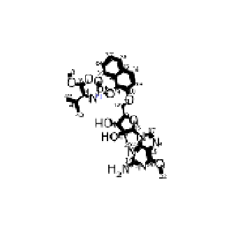 COC(=O)[C@@H](/N=[P+](\[O-])Oc1c(OC[C@H]2OC(n3cnc4c(OC)nc(N)nc43)[C@](C)(O)[C@@H]2O)ccc2ccccc12)C(C)C